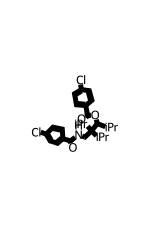 CC(C)C(OC(=O)c1ccc(Cl)cc1)C(CNC(=O)c1ccc(Cl)cc1)(C(C)C)C(C)C